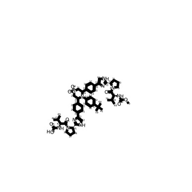 COC(=O)N[C@H](C(=O)N1CCC[C@H]1c1nc(-c2ccc(C3CS(=O)(=O)CC(c4ccc(-c5c[nH]c([C@@H]6CCCN6C(=O)[C@@H](NC(=O)O)C(C)C)n5)cc4)N3c3ccc(C(C)(C)C)cc3)cc2)c[nH]1)C(C)C